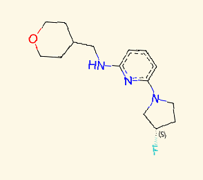 F[C@H]1CCN(c2cccc(NCC3CCOCC3)n2)C1